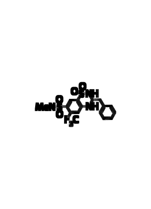 CNS(=O)(=O)c1cc2c(cc1C(F)(F)F)NC(Cc1ccccc1)NS2(=O)=O